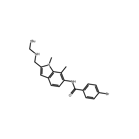 Cc1c(NC(=O)c2ccc(Br)cc2)ccc2cc(CNCC(C)(C)C)n(C)c12